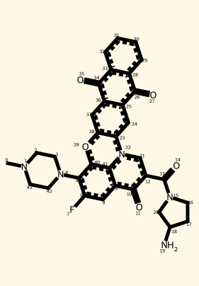 CN1CCN(c2c(F)cc3c(=O)c(C(=O)N4CCC(N)C4)cn4c5cc6c(=O)c7ccccc7c(=O)c6cc5oc2c34)CC1